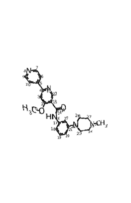 COc1cc(-c2ccncc2)ncc1C(=O)Nc1cccc(N2CCN(C)CC2)c1